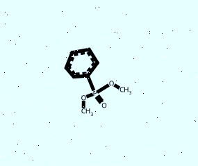 COP(=O)(OC)c1cc[c]cc1